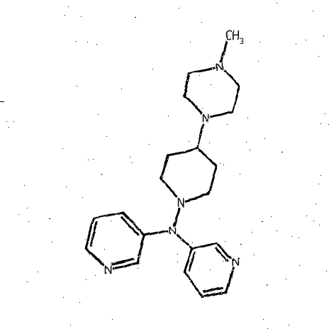 CN1CCN(C2CCN(N(c3cccnc3)c3cccnc3)CC2)CC1